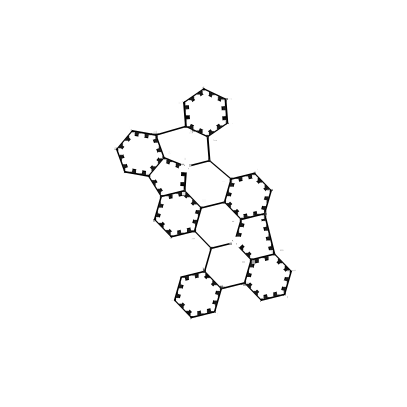 c1ccc2c(c1)-c1cccc3c4ccc5c6c4n(c13)C2c1ccc2c3cccc4c3n(c2c1-6)C5c1ccccc1-4